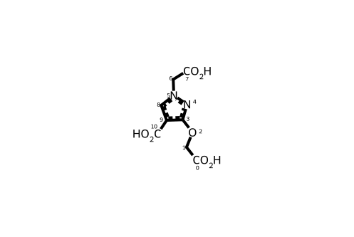 O=C(O)COc1nn(CC(=O)O)cc1C(=O)O